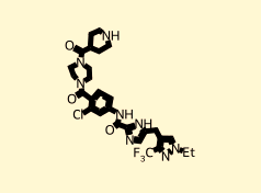 CCn1cc(Cc2cnc(C(=O)Nc3ccc(C(=O)N4CCN(C(=O)C5CCNCC5)CC4)c(Cl)c3)[nH]2)c(C(F)(F)F)n1